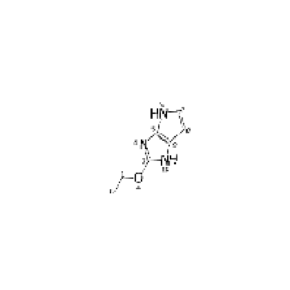 CCOc1nc2[nH]ccc2[nH]1